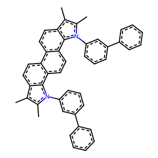 Cc1c(C)n(-c2cccc(-c3ccccc3)c2)c2c1ccc1c3ccc4c(C)c(C)n(-c5cccc(-c6ccccc6)c5)c4c3ccc12